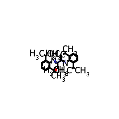 CCC(=N\c1c(C(C)C)cccc1C(C)C)/C(CC)=N/c1c(C(C)C)cccc1C(C)C